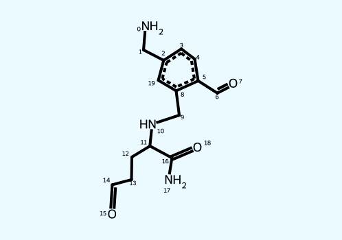 NCc1ccc(C=O)c(CNC(CCC=O)C(N)=O)c1